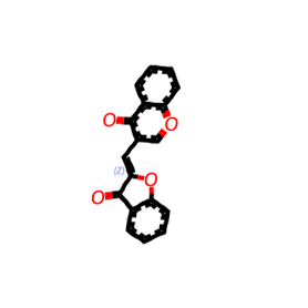 O=C1/C(=C/c2coc3ccccc3c2=O)Oc2ccccc21